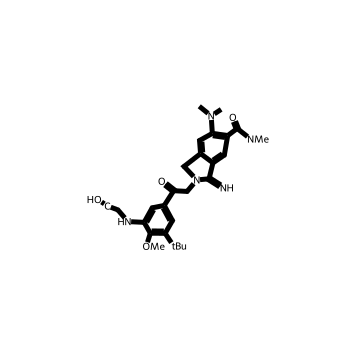 CNC(=O)c1cc2c(cc1N(C)C)CN(CC(=O)c1cc(NCCO)c(OC)c(C(C)(C)C)c1)C2=N